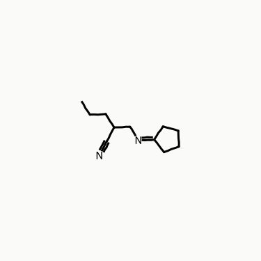 CCCC(C#N)CN=C1CCCC1